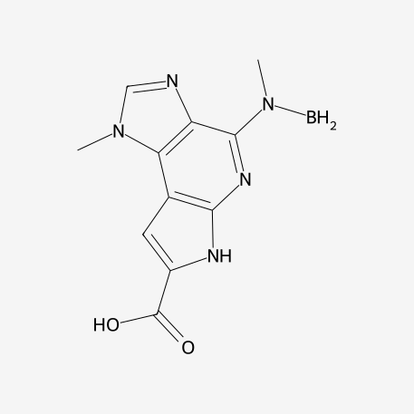 BN(C)c1nc2[nH]c(C(=O)O)cc2c2c1ncn2C